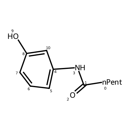 CCCCCC(=O)Nc1cccc(O)c1